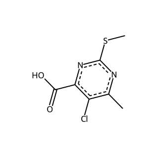 CSc1nc(C)c(Cl)c(C(=O)O)n1